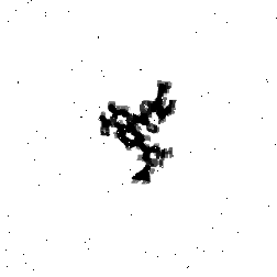 CC(=O)N1c2ccc(/C(C=N)=C/NC3CC3)cc2N(C(=O)OC(CF)CF)CC1C